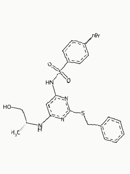 CCCc1ccc(S(=O)(=O)Nc2cc(N[C@H](C)CO)nc(SCc3ccccc3)n2)cc1